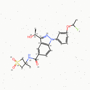 CC(F)Oc1cccc(-n2nc([C@H](C)O)c3cc(C(=O)NC4(C)CS(=O)(=O)C4)ccc32)c1